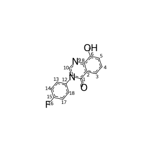 O=c1c2cccc(O)c2ncn1-c1ccc(F)cc1